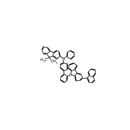 CC1(C)c2ccccc2-c2ccc(N(c3ccccc3)c3ccc(-c4ccccc4-n4c5ccccc5c5cc(-c6cccc7ccccc67)ccc54)cc3)cc21